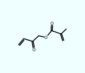 C=CC(=O)COC(=O)C(=C)C